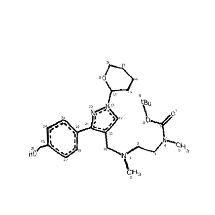 CN(CCN(C)C(=O)OC(C)(C)C)Cc1cn(C2CCCCO2)nc1-c1ccc(O)cc1